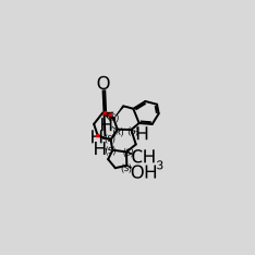 C[C@]12C[C@@H]3c4ccccc4C[C@]45CCC(=O)C=C4CC[C@H]([C@H]35)[C@@H]1CC[C@@H]2O